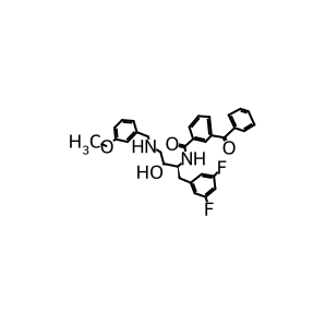 COc1cccc(CNC[C@H](O)[C@H](Cc2cc(F)cc(F)c2)NC(=O)c2cccc(C(=O)c3ccccc3)c2)c1